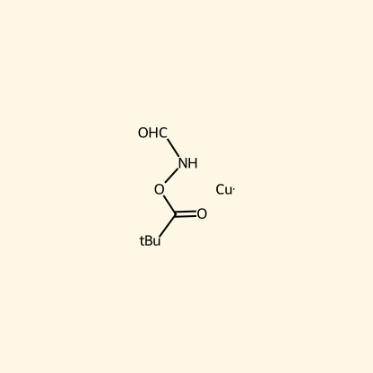 CC(C)(C)C(=O)ONC=O.[Cu]